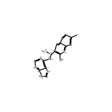 CCCc1nc2cc(F)ccc2cc1[C@H](C)Nc1ncnc2[nH]cnc12